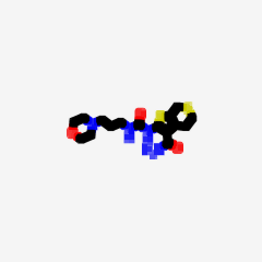 NC(=O)c1c(NC(=O)NCCCN2CCOCC2)sc2c1CCSC2